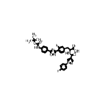 CC(C)(C)OC(=O)Nc1ccc(-c2nc(-c3ccc(CC(NC(=O)c4cnn(-c5ccc(F)cc5)c4)C(=O)O)cc3F)no2)cc1